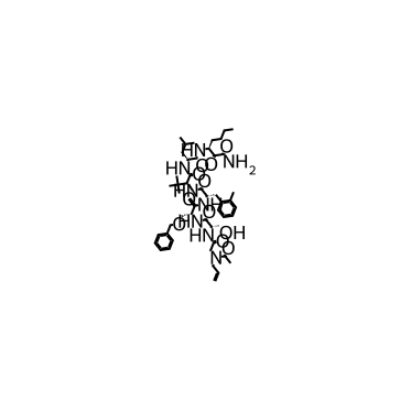 C=CCN(CC(=O)N[C@@H](CO)C(=O)N[C@H](COCc1ccccc1)C(=O)N[C@@H](Cc1ccccc1C)C(=O)N[C@H](C(=O)N[C@@H](CC(C)C)C(=O)N[C@@H](CCCC)C(=O)C(N)=O)C(C)(C)C)C(C)=O